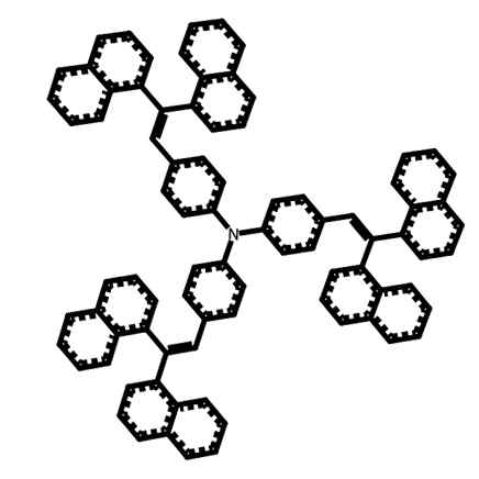 C(=C(c1cccc2ccccc12)c1cccc2ccccc12)c1ccc(N(c2ccc(C=C(c3cccc4ccccc34)c3cccc4ccccc34)cc2)c2ccc(C=C(c3cccc4ccccc34)c3cccc4ccccc34)cc2)cc1